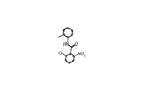 Cc1ccccc1NC(=O)c1c(Cl)cccc1[N+](=O)[O-]